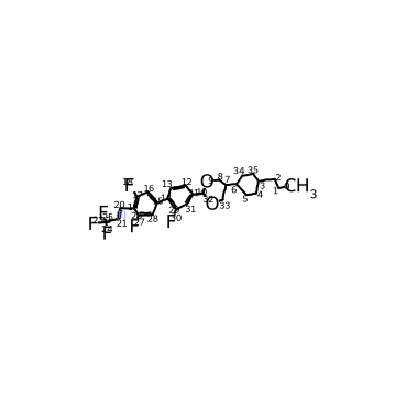 CCCC1CCC(C2COC(c3ccc(-c4cc(F)c(/C=C/C(F)(F)F)c(F)c4)c(F)c3)OC2)CC1